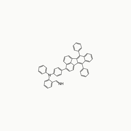 N=Cc1ccccc1N(c1ccccc1)c1ccc(-c2ccc3c4c(cccc24)-c2c-3c(-c3ccccc3)c3ccccc3c2-c2ccccc2)cc1